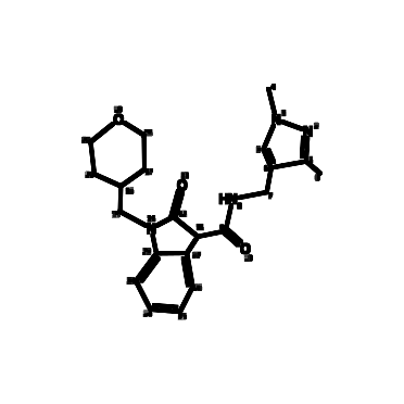 Cc1nn(C)cc1CNC(=O)C1C(=O)N(CC2CCOCC2)c2ccccc21